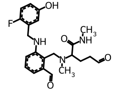 CNC(=O)C(CCC=O)N(C)Cc1c(C=O)cccc1NCc1cc(O)ccc1F